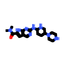 CN(C)C(=O)c1cc2cnc(NC3CCC(N4CCNCC4)CN3)nc2[nH]1